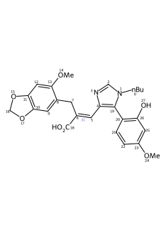 CCCCn1cnc(/C=C(\Cc2cc3c(cc2OC)OCO3)C(=O)O)c1-c1ccc(OC)cc1O